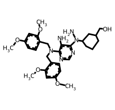 COc1ccc(CN(Cc2ccc(OC)cc2OC)c2ncnc(N(N)C3CCCC(CO)C3)c2N)c(OC)c1